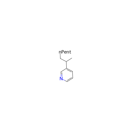 CCCCCCC(C)c1cccnc1